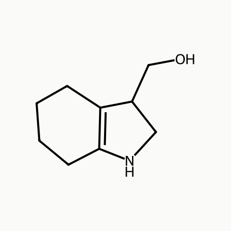 OCC1CNC2=C1CCCC2